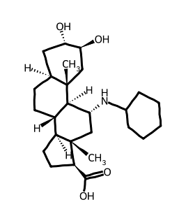 C[C@]12C[C@H](O)[C@@H](O)C[C@@H]1CC[C@@H]1[C@@H]2[C@H](NC2CCCCC2)C[C@]2(C)[C@@H](C(=O)O)CC[C@@H]12